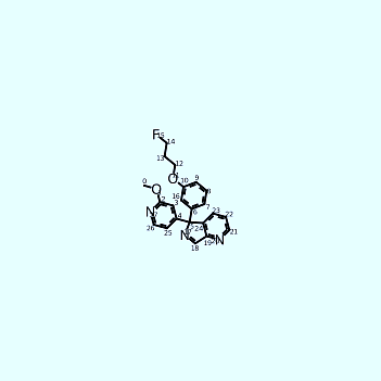 COc1cc(C2(c3cccc(OCCCF)c3)N=Cc3ncccc32)ccn1